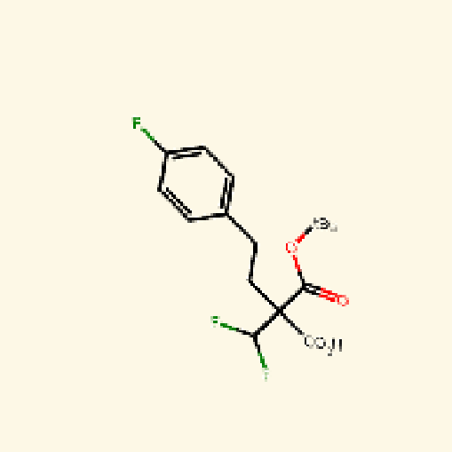 CC(C)(C)OC(=O)C(CCc1ccc(F)cc1)(C(=O)O)C(F)F